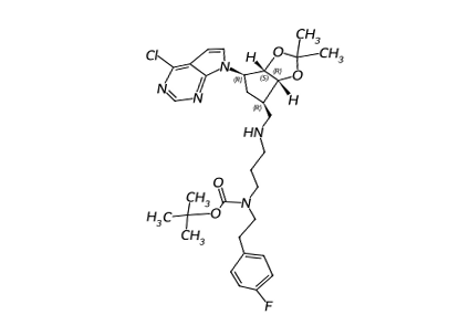 CC(C)(C)OC(=O)N(CCCNC[C@H]1C[C@@H](n2ccc3c(Cl)ncnc32)[C@@H]2OC(C)(C)O[C@H]12)CCc1ccc(F)cc1